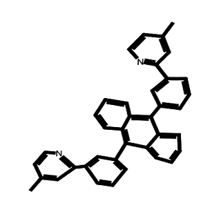 Cc1ccnc(-c2cccc(-c3c4ccccc4c(-c4cccc(-c5cc(C)ccn5)c4)c4ccccc34)c2)c1